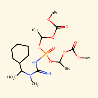 CCCOC(=O)OC(OP(=O)(NC(=N)N(C)C(C(=O)O)C1CCCCC1)OC(OC(=O)OCCC)C(C)(C)C)C(C)(C)C